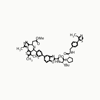 COC(=O)CC1N=C(c2ccc(-c3ccc4oc(C(=O)N[C@H](C(=O)N5CCC[C@H]5C(=O)NCc5ccc(-c6scnc6C)cc5)C(C)(C)C)nc4c3)cc2)c2c(sc(C)c2C)-n2c(C)nnc21